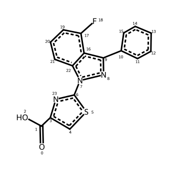 O=C(O)c1csc(-n2nc(-c3ccccc3)c3c(F)cccc32)n1